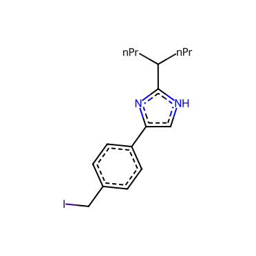 CCCC(CCC)c1nc(-c2ccc(CI)cc2)c[nH]1